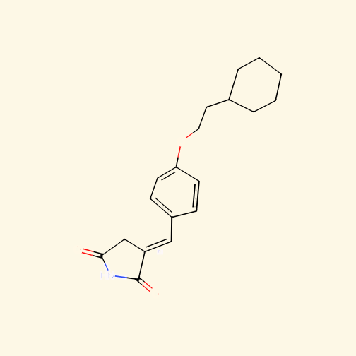 O=C1C/C(=C\c2ccc(OCCC3CCCCC3)cc2)C(=O)N1